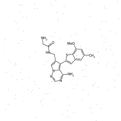 COc1cc(C)cc2cc(-c3c(CNC(=O)CN)cn4ncnc(N)c34)sc12